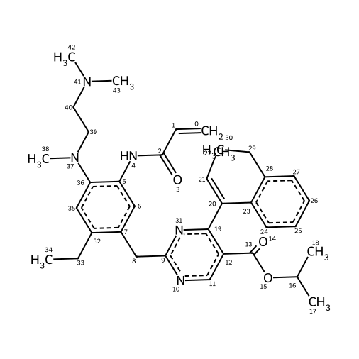 C=CC(=O)Nc1cc(Cc2ncc(C(=O)OC(C)C)c(/C(=C/C)c3ccccc3CC)n2)c(CC)cc1N(C)CCN(C)C